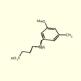 COc1cc(C)cc(NCCCS(=O)(=O)O)c1